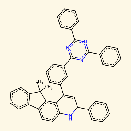 CC1(C)c2ccccc2-c2ccc3c(c21)C(c1cccc(-c2nc(-c4ccccc4)nc(-c4ccccc4)n2)c1)=CC(c1ccccc1)N3